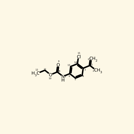 C=C(C)c1ccc(NC(=O)OCC)cc1Cl